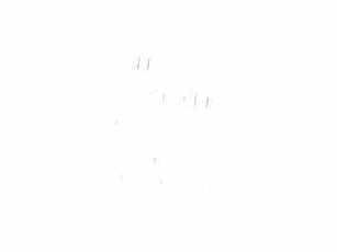 [C-]#[O+].[C-]#[O+].[C-]#[O+].[C-]#[O+].[ClH+][Rh-][ClH+].[Rh]